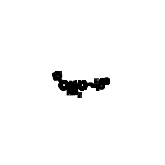 CCC(C)(CCc1ccc(C(=O)Nc2cc(-c3cccs3)ccc2N)cc1)OP=O